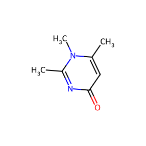 Cc1cc(=O)nc(C)n1C